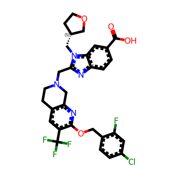 O=C(O)c1ccc2nc(CN3CCc4cc(C(F)(F)F)c(OCc5ccc(Cl)cc5F)nc4C3)n(C[C@@H]3CCOC3)c2c1